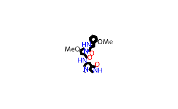 C=NCC(CC1CCNC1=O)NC(=O)C1CC(OC)CN1C(=O)c1cc2c(OC)cccc2[nH]1